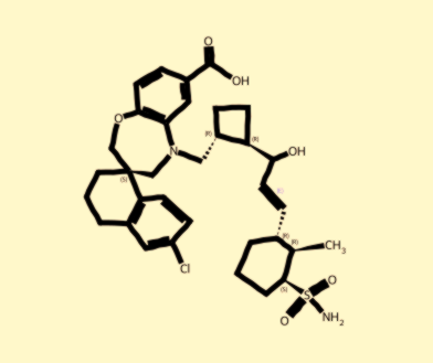 C[C@@H]1[C@@H](/C=C/C(O)[C@@H]2CC[C@H]2CN2C[C@@]3(CCCc4cc(Cl)ccc43)COc3ccc(C(=O)O)cc32)CCC[C@@H]1S(N)(=O)=O